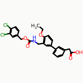 CCOc1ccc(-c2cccc(CC(=O)O)c2)cc1CNC(=O)OCc1ccc(Cl)c(Cl)c1